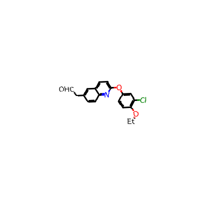 CCOc1ccc(Oc2ccc3cc(CC=O)ccc3n2)cc1Cl